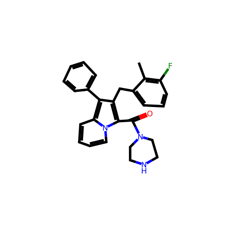 Cc1c(F)cccc1Cc1c(-c2ccccc2)c2ccccn2c1C(=O)N1CCNCC1